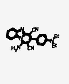 CCN(CC)c1ccc(-c2c(C#N)c(N)n3c(nc4ccccc43)c2C#N)cc1